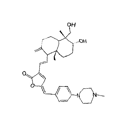 C=C1CCC2[C@](C)(CC[C@@H](O)[C@@]2(C)CO)C1/C=C/C1=CC(=C\c2ccc(N3CCN(C)CC3)cc2)/OC1=O